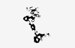 Cc1cc(COc2ccc(CSc3ccccc3C3C(=O)NC(=O)N3OC(=O)C(F)(F)F)cc2)c2ccccc2n1